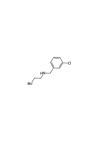 CCC(C)CCNCc1cccc(Cl)c1